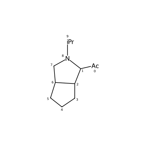 CC(=O)C1C2CCCC2CN1C(C)C